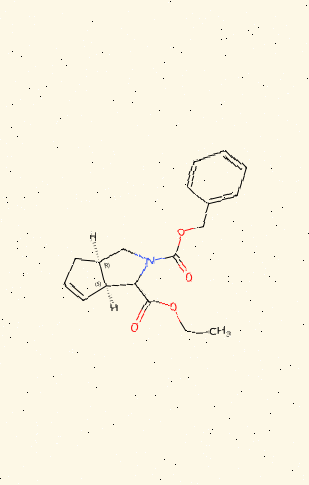 CCOC(=O)C1[C@H]2C=CC[C@H]2CN1C(=O)OCc1ccccc1